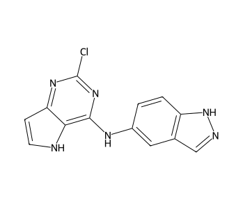 Clc1nc(Nc2ccc3[nH]ncc3c2)c2[nH]ccc2n1